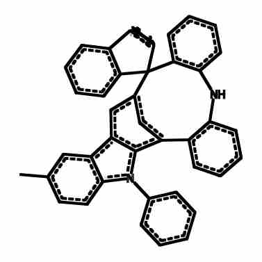 Cc1ccc2c(c1)c1cc3cc(c1n2-c1ccccc1)-c1ccccc1Nc1ccccc1C31c2ccccc2-c2ccccc21